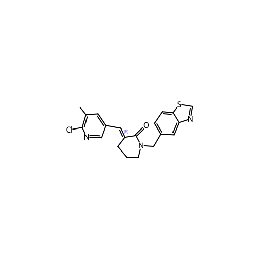 Cc1cc(/C=C2\CCCN(Cc3ccc4scnc4c3)C2=O)cnc1Cl